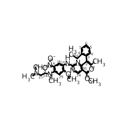 C/C=C(\c1ccccc1CC)c1nc(Nc2cc([N+](=O)[O-])c(N(C)CCN(C)C)cc2OC)ncc1C(=O)OC